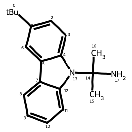 CC(C)(C)c1ccc2c(c1)c1ccccc1n2C(C)(C)N